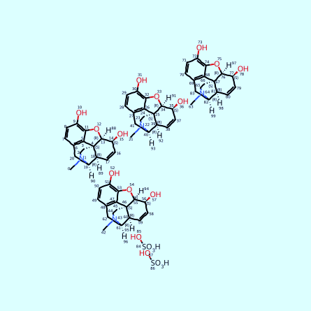 CN1CC[C@]23c4c5ccc(O)c4O[C@H]2[C@@H](O)C=C[C@H]3[C@H]1C5.CN1CC[C@]23c4c5ccc(O)c4O[C@H]2[C@@H](O)C=C[C@H]3[C@H]1C5.CN1CC[C@]23c4c5ccc(O)c4O[C@H]2[C@@H](O)C=C[C@H]3[C@H]1C5.CN1CC[C@]23c4c5ccc(O)c4O[C@H]2[C@@H](O)C=C[C@H]3[C@H]1C5.O=S(=O)(O)O.O=S(=O)(O)O